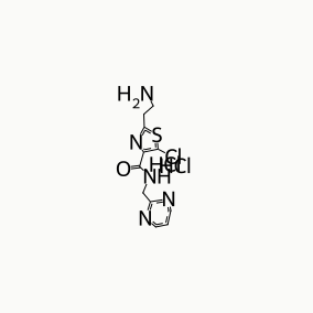 Cl.Cl.NCCc1nc(C(=O)NCc2ncccn2)c(Cl)s1